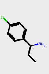 CC[C@H](N)c1ccc(Cl)cc1